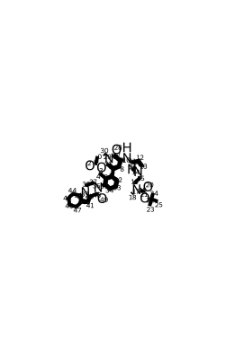 CC(=O)OCc1c(-c2cc(Nc3ccn(CCN(C)C(=O)OC(C)(C)C)n3)c(=O)n(C)c2)cccc1N1CCn2c(cc3c2CCCC3)C1=O